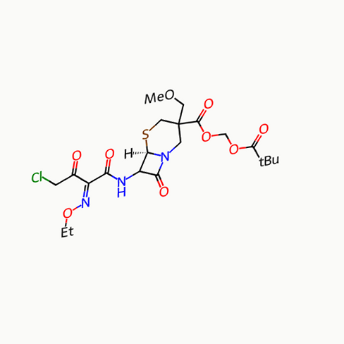 CCON=C(C(=O)CCl)C(=O)NC1C(=O)N2CC(COC)(C(=O)OCOC(=O)C(C)(C)C)CS[C@H]12